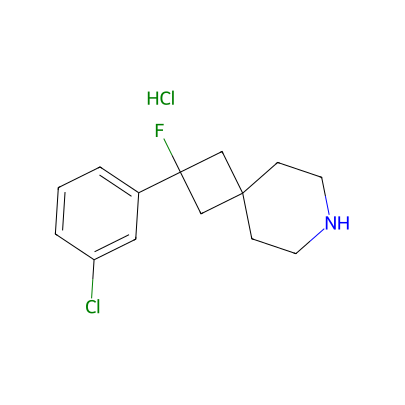 Cl.FC1(c2cccc(Cl)c2)CC2(CCNCC2)C1